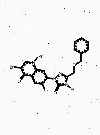 CCn1c(COCc2ccccc2)nn(-c2cc3c(cc2F)c(=O)c(Br)cn3C(C)C)c1=O